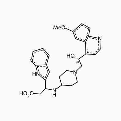 COc1ccc2nccc([C@@H](O)CN3CCC(NC(CC(=O)O)c4cc5cccnc5[nH]4)CC3)c2c1